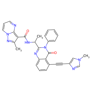 Cc1nn2cccnc2c1C(=O)NC(C)c1nc2cccc(C#Cc3cn(C)cn3)c2c(=O)n1-c1ccccc1